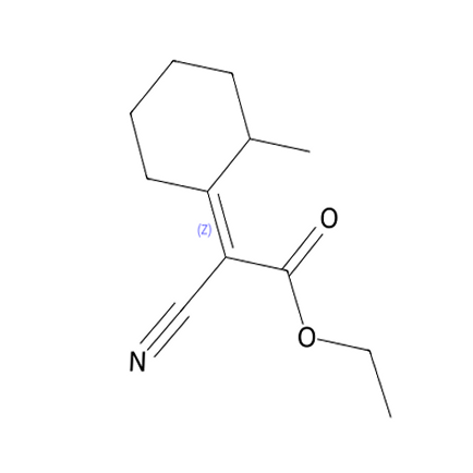 CCOC(=O)/C(C#N)=C1/CCCCC1C